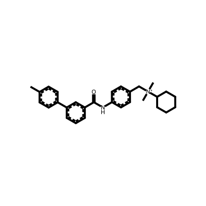 Cc1ccc(-c2cccc(C(=O)Nc3ccc(C[N+](C)(C)C4CCCCC4)cc3)c2)cc1